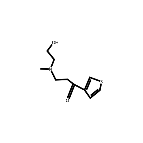 CN(CCO)CCC(=O)c1ccsc1